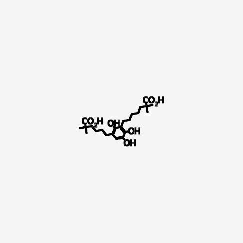 CC(C)(CCCCCc1c(O)c(O)cc(CCCCC(C)(C)C(=O)O)c1O)C(=O)O